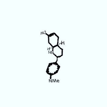 CNc1ccc([C@@H]2CC[C@@H]3CC=C(O)C[C@@H]3N2)cc1